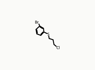 ClCCCSc1cccc(Br)c1